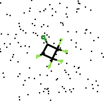 F[C@H]1[C@H](Cl)C(F)(F)C1(F)F